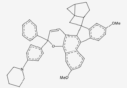 COc1ccc2c(c1)C1(CC34CC3CCC14)c1c3c(c4cc(OC)ccc4c1-2)OC(c1ccccc1)(c1ccc(N2CCCCC2)cc1)C=C3